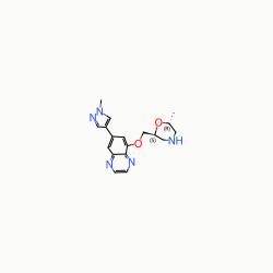 C[C@@H]1CNC[C@@H](COc2cc(-c3cnn(C)c3)cc3nccnc23)O1